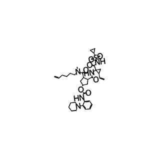 C=CCCCCN(C)C(=O)C1CC(OC(=O)Nc2ccccc2N2CCCCC2)CC1C(=O)NC1(C(=O)NS(=O)(=O)C2CC2)CC1C=C